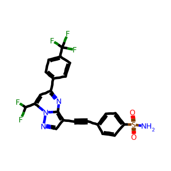 NS(=O)(=O)c1ccc(C#Cc2cnn3c(C(F)F)cc(-c4ccc(C(F)(F)F)cc4)nc23)cc1